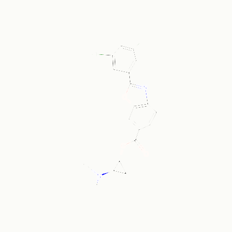 CN(C)[C@@H]1C[C@H]1OC(=O)c1ccc2nc(-c3cc(Cl)cc(Cl)c3)oc2c1.Cl